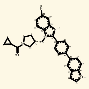 O=C(C1CC1)N1CC[C@H](Cn2c(-c3ccc(-c4ccc5occc5c4)cc3)nc3cc(F)ccc32)C1